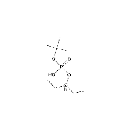 CC[SiH](CC)OP(=O)(O)OC(C)(C)C